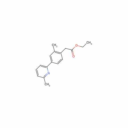 CCOC(=O)Cc1ccc(-c2cccc(C)n2)cc1C